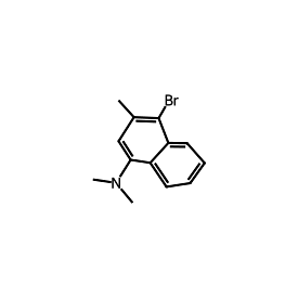 Cc1cc(N(C)C)c2ccccc2c1Br